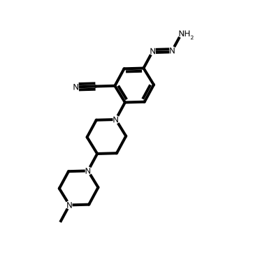 CN1CCN(C2CCN(c3ccc(N=NN)cc3C#N)CC2)CC1